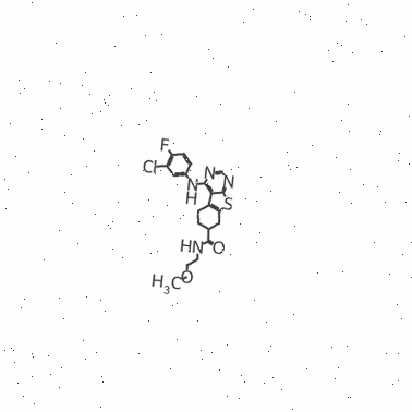 COCCNC(=O)C1CCc2c(sc3ncnc(Nc4ccc(F)c(Cl)c4)c23)C1